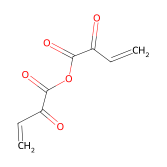 C=CC(=O)C(=O)OC(=O)C(=O)C=C